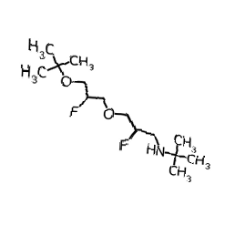 CC(C)(C)NCC(F)COCC(F)COC(C)(C)C